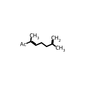 C=C(C)CC/C=C(\C)C(C)=O